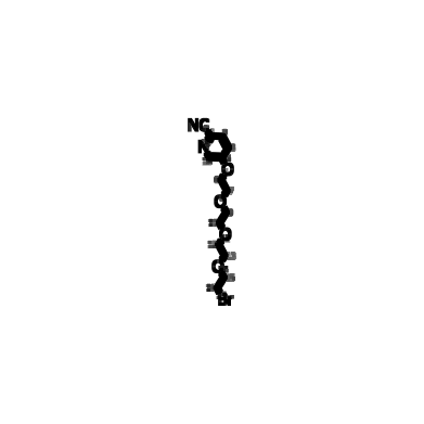 N#Cc1ccc(OCCOCCOCCOCCBr)cn1